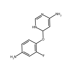 NC1=CC(Oc2ccc(N)cc2F)NC=N1